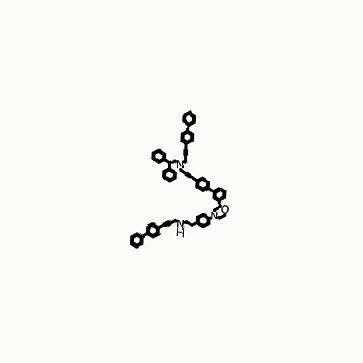 C(#Cc1ccc(-c2ccccc2)cc1)CNCCc1ccc(N2CCOC(c3cccc(-c4ccc(C#CCN(CC#Cc5ccc(-c6ccccc6)cc5)CC(c5ccccc5)c5ccccc5)cc4)c3)C2)cc1